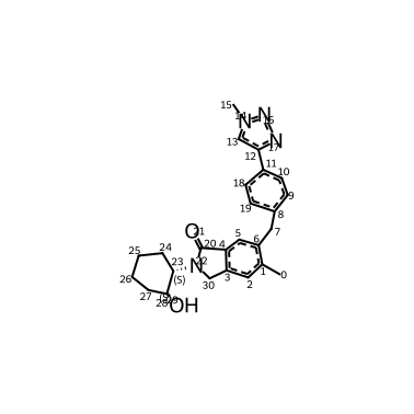 Cc1cc2c(cc1Cc1ccc(-c3cn(C)nn3)cc1)C(=O)N([C@H]1CCCC[C@@H]1O)C2